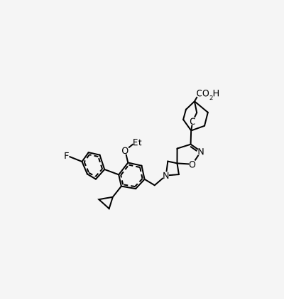 CCOc1cc(CN2CC3(CC(C45CCC(C(=O)O)(CC4)CC5)=NO3)C2)cc(C2CC2)c1-c1ccc(F)cc1